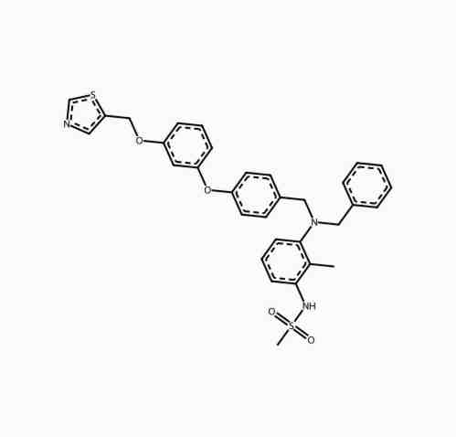 Cc1c(NS(C)(=O)=O)cccc1N(Cc1ccccc1)Cc1ccc(Oc2cccc(OCc3cncs3)c2)cc1